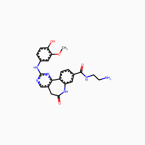 COc1cc(Nc2ncc3c(n2)-c2ccc(C(=O)NCCN)cc2NC(=O)C3)ccc1O